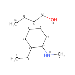 CCC1CCCCC1NC.CCCCO